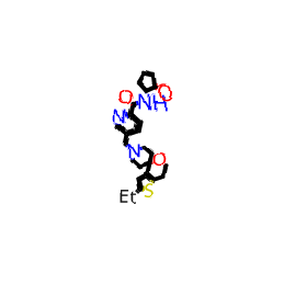 CCc1cc2c(s1)CCOC21CCN(Cc2ccc(C(=O)N[C@@H]3CCCC3=O)nc2)CC1